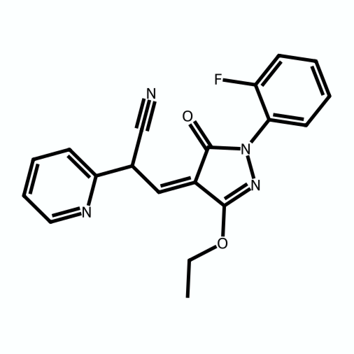 CCOC1=NN(c2ccccc2F)C(=O)C1=CC(C#N)c1ccccn1